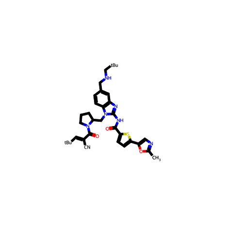 Cc1ncc(-c2ccc(C(=O)Nc3nc4cc(CNCC(C)(C)C)ccc4n3CC3CCCN3C(=O)C(C#N)=CC(C)(C)C)s2)o1